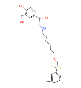 CC1=CC(C(F)(F)COCCCCCCNCC(O)c2ccc(O)c(CO)c2)=C=CC1